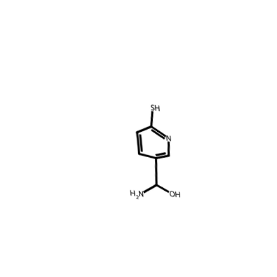 NC(O)c1ccc(S)nc1